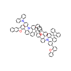 C1=C(N(c2ccccc2-c2cccc3c2oc2cc4ccccc4cc23)c2cccc3c2-c2ccccc2C32c3ccccc3-c3cc(-c4cccc(N(c5ccc(-c6cccc7c6oc6ccccc67)cc5)c5cccc6c5-c5ccccc5C65c6ccccc6-c6ccccc65)c4-c4cccc5c4oc4cc6ccccc6cc45)ccc32)CCC(n2c3ccccc3c3ccccc32)=C1